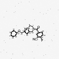 N#Cc1cc(C(=O)N2CCn3nc(COc4ccccc4)cc3C2)ccc1F